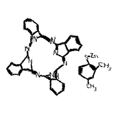 Cc1ccc([S][Zn])c(C)c1.c1ccc2c(c1)-c1nc-2nc2[nH]c(nc3nc(nc4[nH]c(n1)c1ccccc41)-c1ccccc1-3)c1ccccc21